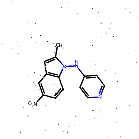 Cc1cc2cc([N+](=O)[O-])ccc2n1Nc1ccncc1